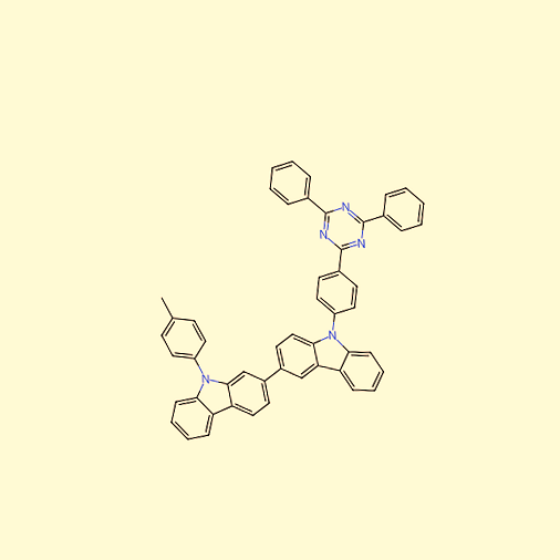 Cc1ccc(-n2c3ccccc3c3ccc(-c4ccc5c(c4)c4ccccc4n5-c4ccc(-c5nc(-c6ccccc6)nc(-c6ccccc6)n5)cc4)cc32)cc1